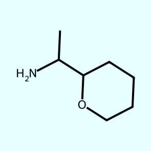 CC(N)C1CCCCO1